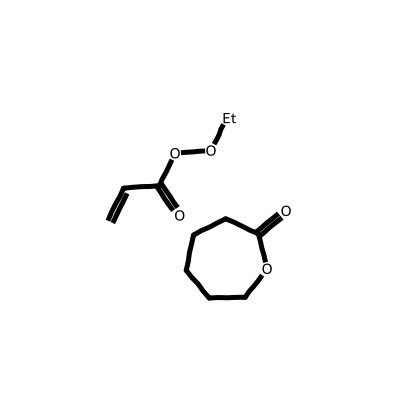 C=CC(=O)OOCC.O=C1CCCCCO1